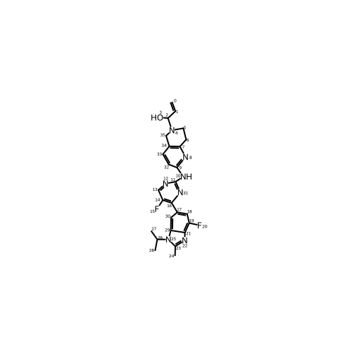 C=CC(O)N1CCc2nc(Nc3ncc(F)c(-c4cc(F)c5nc(C)n(C(C)C)c5c4)n3)ccc2C1